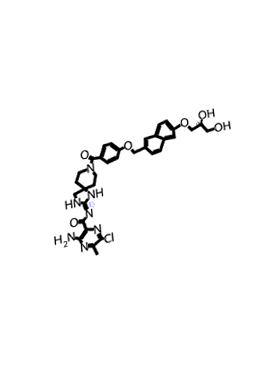 Cc1nc(N)c(C(=O)/N=C2\NCC3(CCN(C(=O)c4ccc(OCc5ccc6cc(OC[C@@H](O)CO)ccc6c5)cc4)CC3)N2)nc1Cl